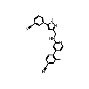 Cc1cc(C#N)ccc1-c1ccnc(NCc2cc(-c3cccc(C#N)c3)[nH]n2)c1